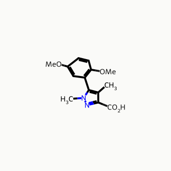 COc1ccc(OC)c(-c2c(C)c(C(=O)O)nn2C)c1